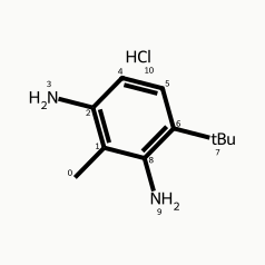 Cc1c(N)ccc(C(C)(C)C)c1N.Cl